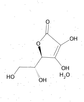 O.O=C1O[C@H]([C@H](O)CO)C(O)=C1O